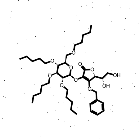 CCCCCOC[C@H]1O[C@@H](OC2=C(OCc3ccccc3)[C@@H]([C@@H](O)CO)OC2=O)[C@H](OCCCCC)[C@@H](OCCCCC)[C@@H]1OCCCCC